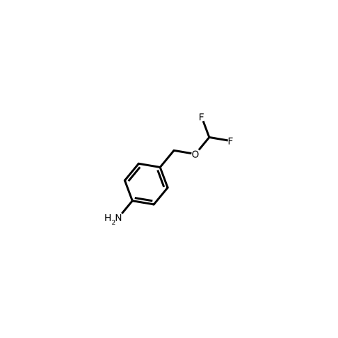 Nc1ccc(COC(F)F)cc1